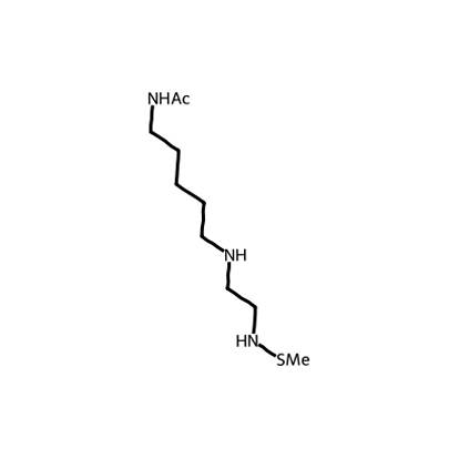 CSNCCNCCCCCNC(C)=O